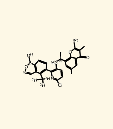 [2H]C([2H])([2H])c1c(-c2nc(Cl)ccc2N[C@@H](C)c2cc(C)cc3c(=O)c(C)c(C(C)C)oc23)ccc2c1C=NOB2O